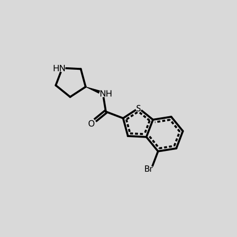 O=C(N[C@H]1CCNC1)c1cc2c(Br)cccc2s1